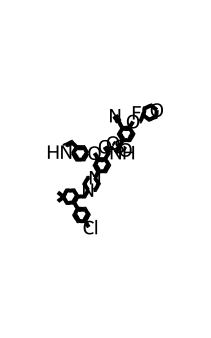 CC1(C)CCC(CN2CCN(c3ccc(C(=O)NS(=O)(=O)c4ccc(OCC5(F)CCOCC5)c(C#N)c4)c(Oc4ccc5[nH]ccc5c4)c3)CC2)=C(c2ccc(Cl)cc2)C1